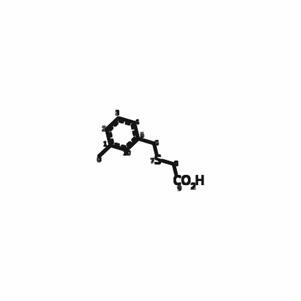 Cc1cccc(CSCC(=O)O)c1